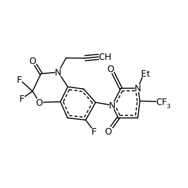 C#CCN1C(=O)C(F)(F)Oc2cc(F)c(-n3c(=O)cc(C(F)(F)F)n(CC)c3=O)cc21